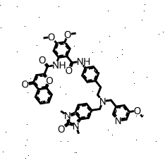 COc1cncc(CN(CCc2ccc(NC(=O)c3cc(OC)c(OC)cc3NC(=O)c3cc(=O)c4ccccc4o3)cc2)Cc2ccc3c(c2)n(C)c(=O)n3C)c1